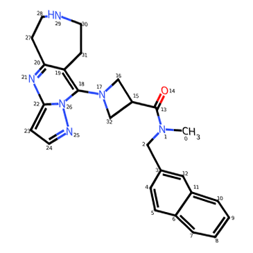 CN(Cc1ccc2ccccc2c1)C(=O)C1CN(c2c3c(nc4ccnn24)CCNCC3)C1